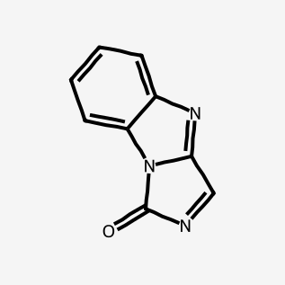 O=C1N=Cc2nc3ccccc3n21